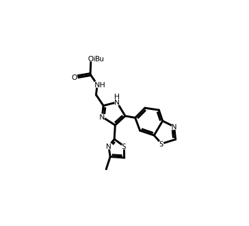 Cc1csc(-c2nc(CNC(=O)OCC(C)C)[nH]c2-c2ccc3ncsc3c2)n1